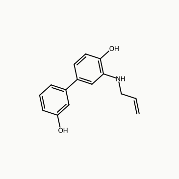 C=CCNc1cc(-c2cccc(O)c2)ccc1O